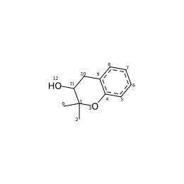 CC1(C)Oc2ccccc2CC1O